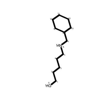 OCCCCCNCC1CCCCC1